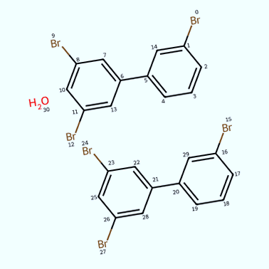 Brc1cccc(-c2cc(Br)cc(Br)c2)c1.Brc1cccc(-c2cc(Br)cc(Br)c2)c1.O